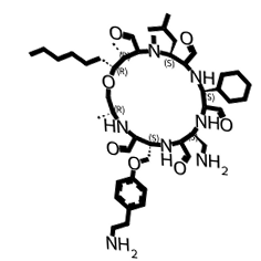 CCCCCC[C@H]1OC[C@@H](C)NC(C=O)[C@@H](COc2ccc(CCN)cc2)NC(C=O)[C@H](CN)NC(C=O)[C@H](C2CCCCC2)NC(C=O)[C@H](CC(C)C)N(C)C(C=O)[C@H]1C